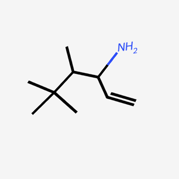 C=CC(N)C(C)C(C)(C)C